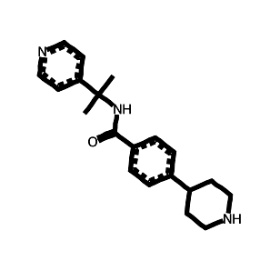 CC(C)(NC(=O)c1ccc(C2CCNCC2)cc1)c1ccncc1